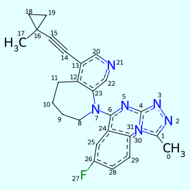 Cc1nnc2nc(N3CCCCc4c(C#CC5(C)CC5)cncc43)c3cc(F)ccc3n12